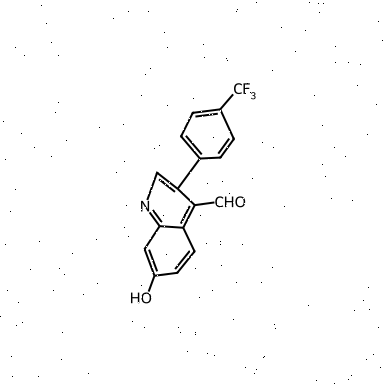 O=Cc1c(-c2ccc(C(F)(F)F)cc2)cnc2cc(O)ccc12